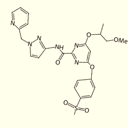 COCC(C)Oc1cc(Oc2ccc(S(C)(=O)=O)cc2)nc(C(=O)Nc2ccn(Cc3ccccn3)n2)n1